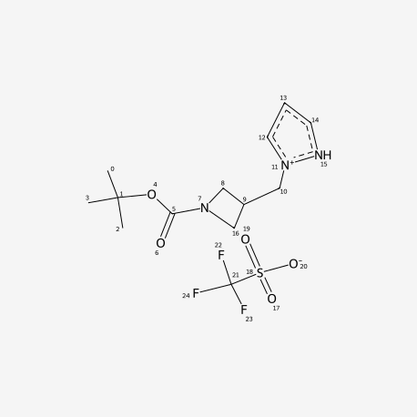 CC(C)(C)OC(=O)N1CC(C[n+]2ccc[nH]2)C1.O=S(=O)([O-])C(F)(F)F